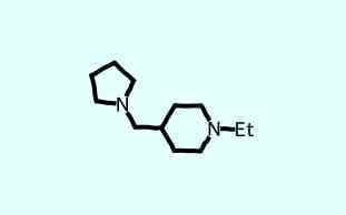 CCN1CCC(CN2CCCC2)CC1